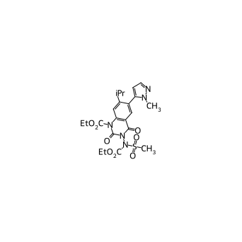 CCOC(=O)N(n1c(=O)c2cc(-c3ccnn3C)c(C(C)C)cc2n(C(=O)OCC)c1=O)S(C)(=O)=O